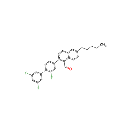 CCCCCc1ccc2c(C=O)c(-c3ccc(-c4cc(F)cc(F)c4)c(F)c3)ccc2c1